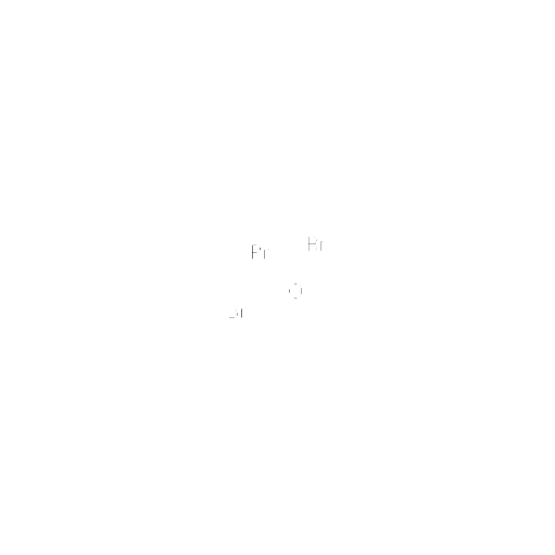 BrOBr.[Pr]